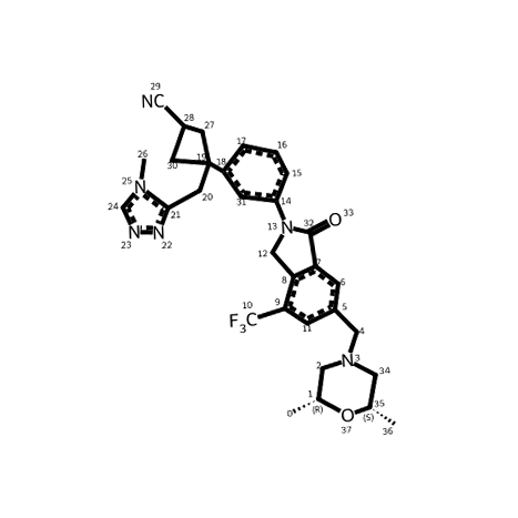 C[C@@H]1CN(Cc2cc3c(c(C(F)(F)F)c2)CN(c2cccc(C4(Cc5nncn5C)CC(C#N)C4)c2)C3=O)C[C@H](C)O1